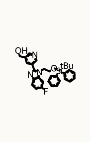 CC(C)(C)[Si](OCCn1c(-c2cncc(CO)c2)nc2ccc(F)cc21)(c1ccccc1)c1ccccc1